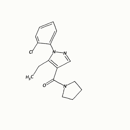 CCc1c(C(=O)N2CCCC2)cnn1-c1ccccc1Cl